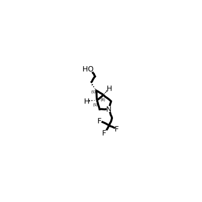 OCC[C@@H]1[C@H]2CN(CC(F)(F)F)C[C@@H]12